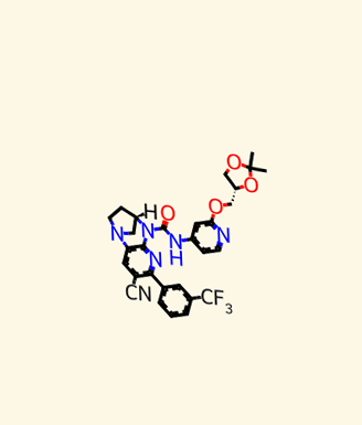 CC1(C)OC[C@@H](COc2cc(NC(=O)N3c4nc(-c5cccc(C(F)(F)F)c5)c(C#N)cc4N4CC[C@H]3C4)ccn2)O1